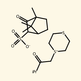 CC(C)C(=O)C[S+]1CCSCC1.CC12CCC(C(S(=O)(=O)[O-])C1=O)C2(C)C